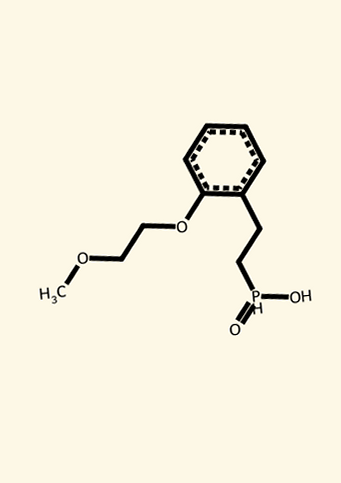 COCCOc1ccccc1CC[PH](=O)O